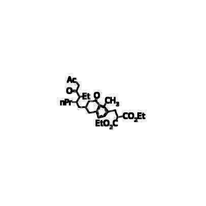 CCCC(CC1CC(=O)c2c(ccc(CC(C(=O)OCC)C(=O)OCC)c2C)C1)C(CC)C(=O)CC(C)=O